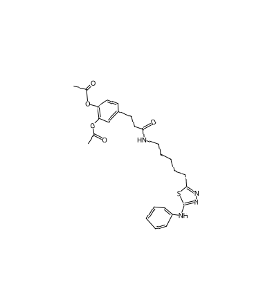 CC(=O)Oc1ccc(CCC(=O)NCCCCCc2nnc(Nc3ccccc3)s2)cc1OC(C)=O